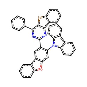 c1ccc(-c2nc(-c3cc4c(cc3-n3c5ccccc5c5ccccc53)oc3ccccc34)nc3c2sc2ccccc23)cc1